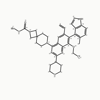 C=Cc1cc2c(N3CCC4(CC3)CN(C(=O)OC(C)(C)C)C4)nc(C3CCOCC3)nc2c(OCC(F)(F)F)c1-c1c(C)ccc2[nH]ncc12